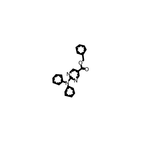 O=C(OCc1ccccc1)c1cnc(N(c2ccccc2)c2ccccc2)nc1